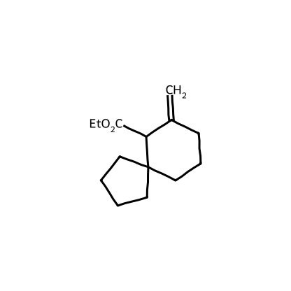 C=C1CCCC2(CCCC2)C1C(=O)OCC